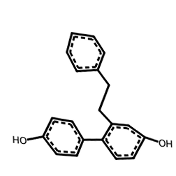 Oc1ccc(-c2ccc(O)cc2CCc2ccccc2)cc1